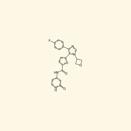 O=C(Nc1cc[nH]c(=O)c1)c1ccc(-c2c(-c3ccc(F)cc3)ncn2C2COC2)o1